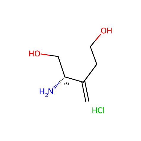 C=C(CCO)[C@H](N)CO.Cl